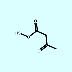 CC(=O)CC(=O)OS